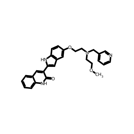 COCCN(CCOc1ccc2[nH]c(-c3cc4ccccc4[nH]c3=O)cc2c1)Cc1cccnc1